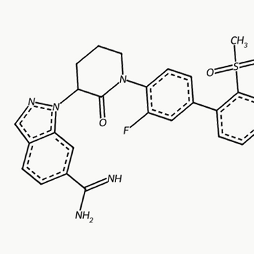 CS(=O)(=O)c1ccccc1-c1ccc(N2CCCC(n3ncc4ccc(C(=N)N)cc43)C2=O)c(F)c1